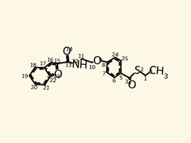 CCSC(=O)c1ccc(OCCNC(=O)c2cc3ccccc3o2)cc1